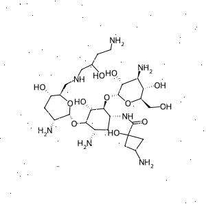 NCCC(O)CNC[C@H]1O[C@H](OC2[C@@H](N)C[C@@H](NC(=O)C3(O)CC(N)C3)[C@H](O[C@H]3O[C@H](CO)[C@@H](O)[C@H](N)[C@H]3O)[C@H]2O)[C@H](N)C[C@@H]1O